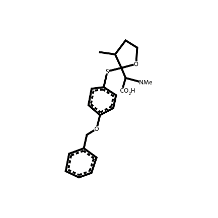 CNC(C(=O)O)C1(Sc2ccc(OCc3ccccc3)cc2)OCCC1C